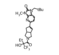 CCC(O)(C(=O)N1CC2C=C(c3ccc4c(n3)n(C)c(=O)n4CC(C)(C)C)CC2C1)C(F)(F)F